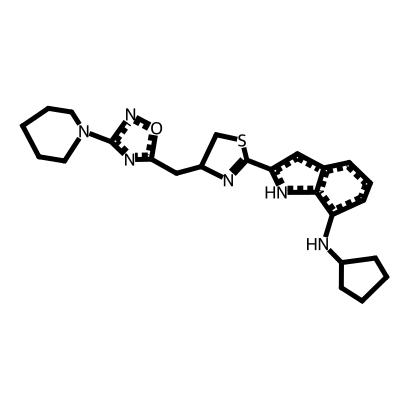 c1cc(NC2CCCC2)c2[nH]c(C3=NC(Cc4nc(N5CCCCC5)no4)CS3)cc2c1